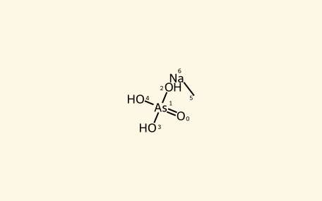 O=[As](O)(O)O.[CH3][Na]